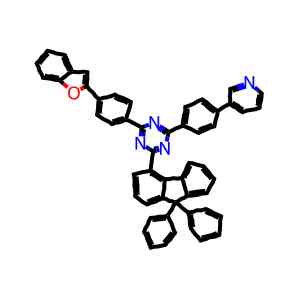 c1ccc(C2(c3ccccc3)c3ccccc3-c3c(-c4nc(-c5ccc(-c6cccnc6)cc5)nc(-c5ccc(-c6cc7ccccc7o6)cc5)n4)cccc32)cc1